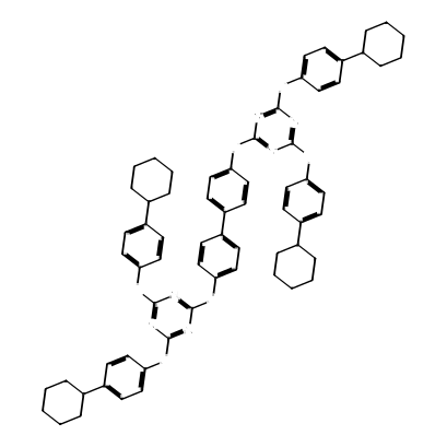 c1cc(-c2ccc(Oc3nc(Oc4ccc(C5CCCCC5)cc4)nc(Oc4ccc(C5CCCCC5)cc4)n3)cc2)ccc1Oc1nc(Oc2ccc(C3CCCCC3)cc2)nc(Oc2ccc(C3CCCCC3)cc2)n1